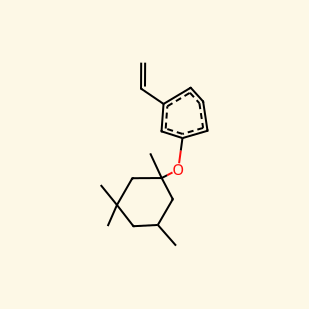 C=Cc1cccc(OC2(C)CC(C)CC(C)(C)C2)c1